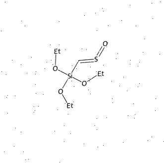 CCO[Si](C=S=O)(OCC)OCC